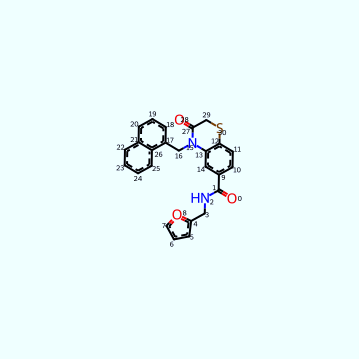 O=C(NCc1ccco1)c1ccc2c(c1)N(Cc1cccc3ccccc13)C(=O)CS2